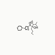 CCCCC(O)(C(=O)c1cc(-c2ccccc2)cs1)C(OC)C(C)C